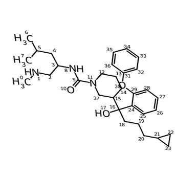 CNCC(CC(C)C)NC(=O)N1CCCC(C(O)(CCCC2CC2)c2ccccc2Oc2ccccc2)C1